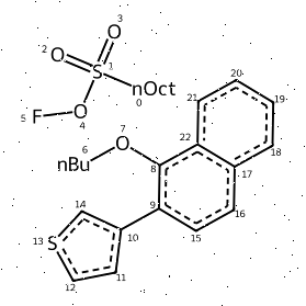 CCCCCCCCS(=O)(=O)OF.CCCCOc1c(-c2ccsc2)ccc2ccccc12